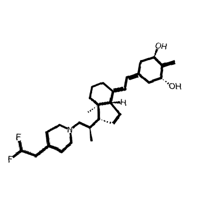 C=C1[C@H](O)CC(=C/C=C2\CCC[C@]3(C)[C@@H]([C@@H](C)CN4CCC(CC(F)F)CC4)CC[C@@H]23)C[C@H]1O